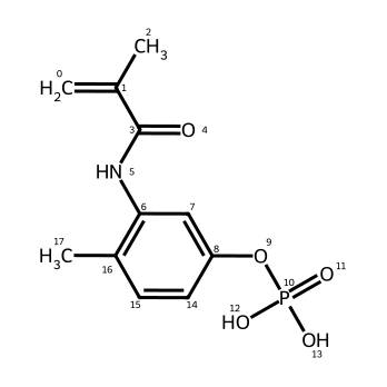 C=C(C)C(=O)Nc1cc(OP(=O)(O)O)ccc1C